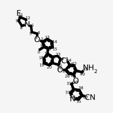 Cc1c(OCCCN2CC[C@H](F)C2)cccc1-c1cccc2c1CC[C@@H]2Oc1cc(OCc2cncc(C#N)c2)c(CN)cc1Cl